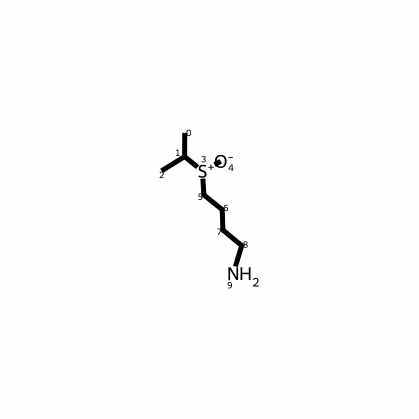 CC(C)[S+]([O-])CCCCN